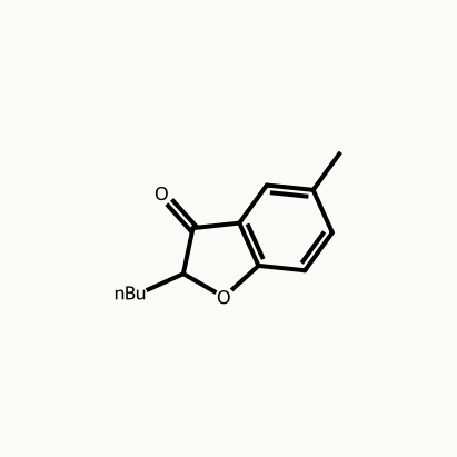 CCCCC1Oc2ccc(C)cc2C1=O